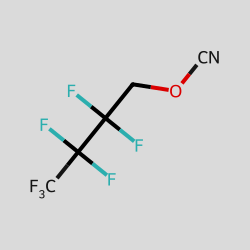 N#COCC(F)(F)C(F)(F)C(F)(F)F